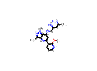 CCOc1ncccc1-c1cc(NCC(=N)/C=C(/C)N)c2c(n1)c(C)nn2C(C)C